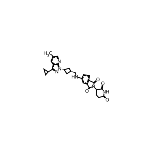 Cc1cnc2c(c1)c(C1CC1)nn2[C@H]1C[C@H](CNc2ccc3c(c2)C(=O)N(C2CCC(=O)NC2=O)C3=O)C1